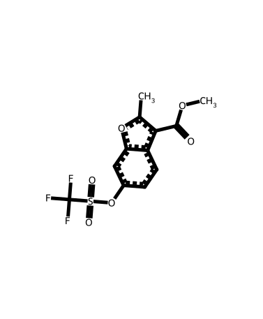 COC(=O)c1c(C)oc2cc(OS(=O)(=O)C(F)(F)F)ccc12